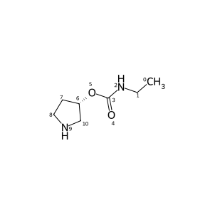 CCNC(=O)O[C@H]1CCNC1